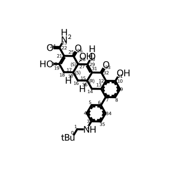 CC(C)(C)CNc1ccc(-c2ccc(O)c3c2C[C@H]2C[C@H]4CC(O)=C(C(N)=O)C(=O)[C@@]4(O)C(O)=C2C3=O)cc1